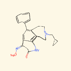 O=C1Nc2c(cc(-c3ccccc3)c3c2CN(CC2CC2)CC3)C1=NO